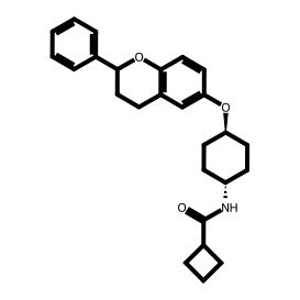 O=C(N[C@H]1CC[C@H](Oc2ccc3c(c2)CCC(c2ccccc2)O3)CC1)C1CCC1